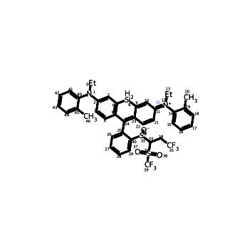 CCN(c1ccc2c(c1)[SiH2]C1=C/C(=[N+](\CC)c3ccccc3C)C=CC1=C2c1ccccc1[S+]([O-])C(CC(F)(F)F)S(=O)(=O)C(F)(F)F)c1ccccc1C